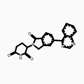 O=C1CCC(N2Cc3cc(-c4ncnc5ccccc45)ccc3C2=O)C(=O)N1